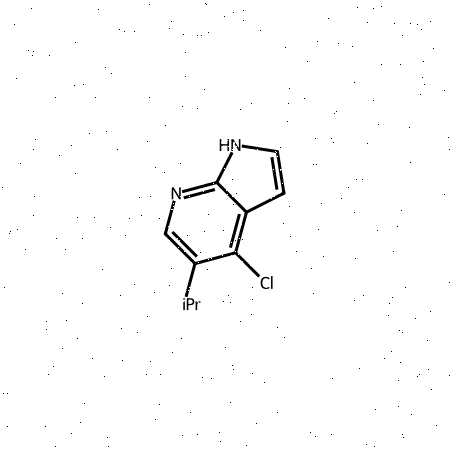 CC(C)c1cnc2[nH]ccc2c1Cl